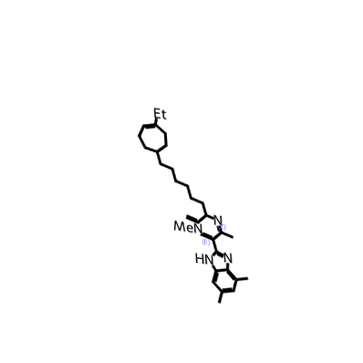 C=CC(CCCCCCC1CCC=C(CC)CC1)/N=C(C)\C(=C/NC)c1nc2c(C)cc(C)cc2[nH]1